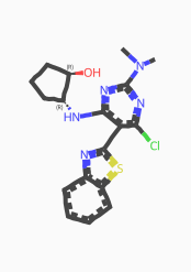 CN(C)c1nc(Cl)c(-c2nc3ccccc3s2)c(N[C@@H]2CCC[C@H]2O)n1